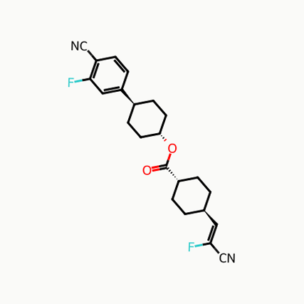 N#CC(F)=C[C@H]1CC[C@H](C(=O)O[C@H]2CC[C@H](c3ccc(C#N)c(F)c3)CC2)CC1